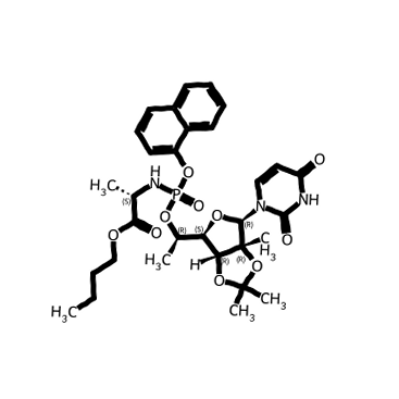 CCCCOC(=O)[C@H](C)NP(=O)(Oc1cccc2ccccc12)O[C@H](C)[C@H]1O[C@@H](n2ccc(=O)[nH]c2=O)[C@]2(C)OC(C)(C)O[C@H]12